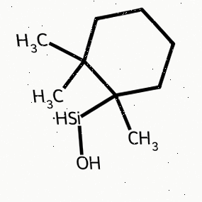 CC1(C)CCCCC1(C)[SiH]O